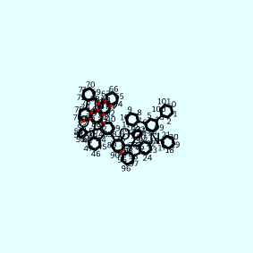 c1ccc(-c2cc(-c3ccccc3)cc(N(c3ccccc3)c3ccc4c(c3)C3(c5ccccc5Oc5c(-c6cccc7c6-c6ccccc6C76c7ccccc7Oc7cc(N(c8ccccc8)c8ccccc8-c8ccccc8-c8ccccc8)ccc76)cccc53)c3ccccc3-4)c2)cc1